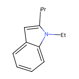 CCn1c(C(C)C)cc2ccccc21